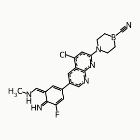 CN/C=C1/C=C(c2cnc3nc(N4CCB(C#N)CC4)cc(Cl)c3c2)C=C(F)C1=N